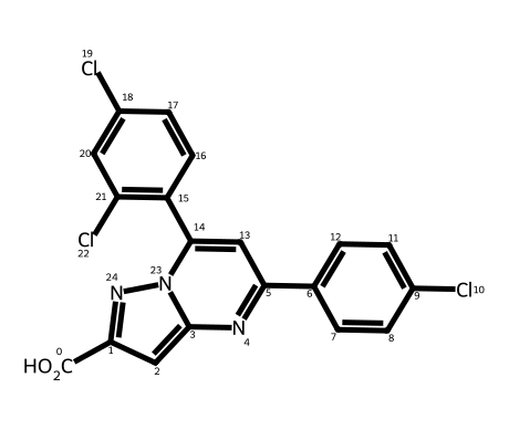 O=C(O)c1cc2nc(-c3ccc(Cl)cc3)cc(-c3ccc(Cl)cc3Cl)n2n1